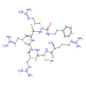 CC(C)C[C@@H](NC(=O)[C@@H](N)CCCN=C(N)N)C(=O)N[C@@H](CCCN=C(N)N)C(=O)N[C@@H](CCCN=C(N)N)C(=O)N[C@H](CCCN=C(N)N)C(=O)NCCc1ccccc1